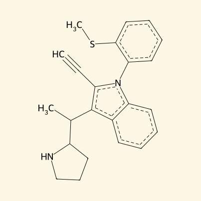 C#Cc1c(C(C)C2CCCN2)c2ccccc2n1-c1ccccc1SC